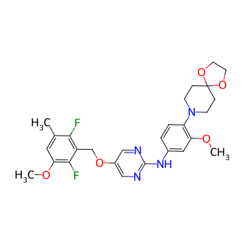 COc1cc(Nc2ncc(OCc3c(F)c(C)cc(OC)c3F)cn2)ccc1N1CCC2(CC1)OCCO2